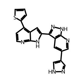 c1csc(-c2ccnc3[nH]c(-c4n[nH]c5ncc(-c6cn[nH]c6)cc45)cc23)c1